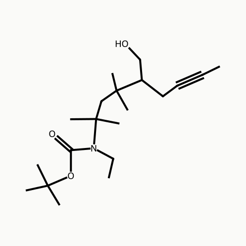 CC#CCC(CO)C(C)(C)CC(C)(C)N(CC)C(=O)OC(C)(C)C